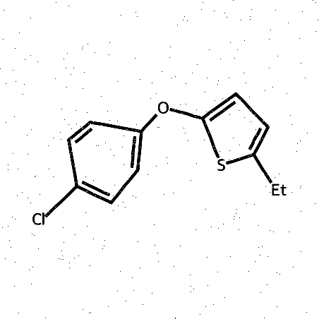 CCc1ccc(Oc2ccc(Cl)cc2)s1